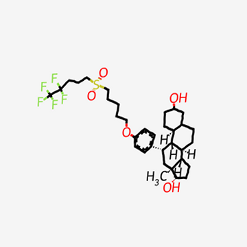 C[C@]12C[C@H](c3ccc(OCCCCCS(=O)(=O)CCCC(F)(F)C(F)(F)F)cc3)[C@H]3[C@@H](CCC4CC(O)CC[C@@H]43)[C@@H]1CC[C@@H]2O